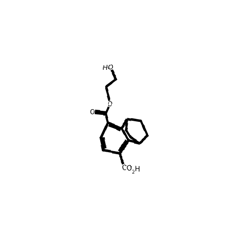 O=C(O)c1ccc(C(=O)OCCO)c2c1C1CCC2CC1